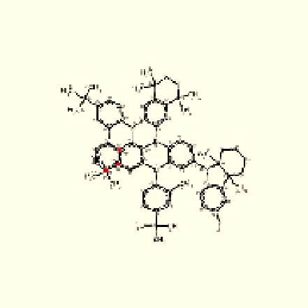 Cc1cc(C(C)(C)C)ccc1N1c2cc(N3c4ccc(F)cc4C4(C)CCCCC34C)ccc2B2c3cc4c(cc3N(c3ccc(C(C)(C)C)cc3-c3ccccc3)c3cc(C(C)(C)C)cc1c32)C(C)(C)CCC4(C)C